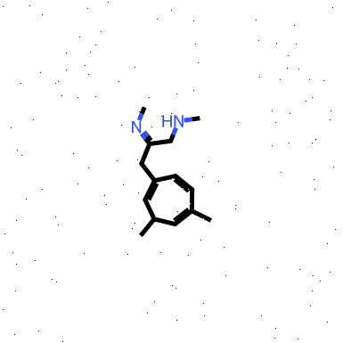 C/N=C(\CNC)CC1=CC(C)C=C(C)C=C1